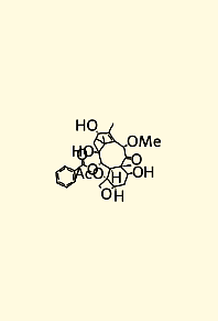 CO[C@H]1C(=O)[C@@]2(C)[C@H]([C@H](OC(=O)c3ccccc3)[C@]3(O)C[C@H](O)C(C)=C1C3(C)C)[C@]1(OC(C)=O)CO[C@@H]1C[C@@H]2O